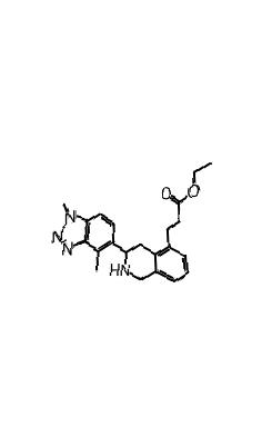 CCOC(=O)CCc1cccc2c1CC(c1ccc3c(nnn3C)c1C)NC2